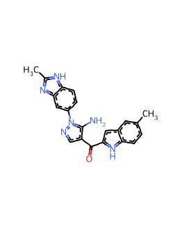 Cc1ccc2[nH]c(C(=O)c3cnn(-c4ccc5[nH]c(C)nc5c4)c3N)cc2c1